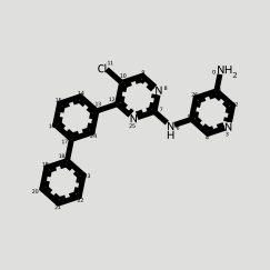 Nc1cncc(Nc2ncc(Cl)c(-c3cccc(-c4ccccc4)c3)n2)c1